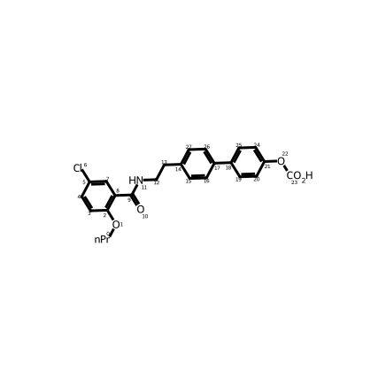 CCCOc1ccc(Cl)cc1C(=O)NCCc1ccc(-c2ccc(OC(=O)O)cc2)cc1